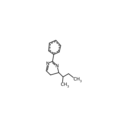 CCC(C)C1CC=NC(c2ccccc2)=N1